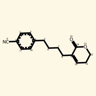 N#Cc1ccc(CCCCC2=CCCOC2=O)cc1